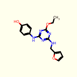 CCOc1nc(NCc2ccco2)nc(Nc2ccc(O)cc2)n1